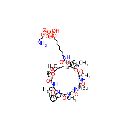 C/C=C(\C)[C@H]1OC(=O)[C@@H](C)NC(=O)[C@H]([C@@H](C)CC)NC(=O)CN(C)C(=O)[C@@H](Cc2ccccc2)N(C)C(=O)[C@H](C)NC(=O)[C@@H](CC(C)C)OC(=O)/C(C)=C/C[C@H](OC(=O)NCCCCCCCOP(=O)(O)OP(=O)(O)OCCN)[C@@H]1C